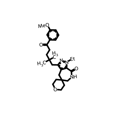 CCn1nc(CC(C)(C)CCC(=O)c2cccc(OC)c2)c2c1C(=O)NCC1(CCOCC1)C2